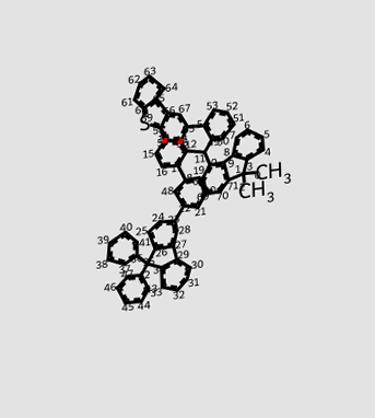 CC1(C)c2ccccc2-c2c(C(c3ccccc3-c3cccc(-c4ccc5c(c4)-c4ccccc4C5(c4ccccc4)c4ccccc4)c3)c3ccccc3-c3ccc4sc5ccccc5c4c3)cccc21